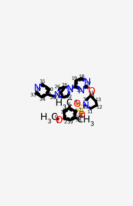 COc1cc(C)c(S(=O)(=O)N2CCCC(Oc3nccc(N4CC5CC4CN5Cc4ccncc4)n3)C2)c(C)c1